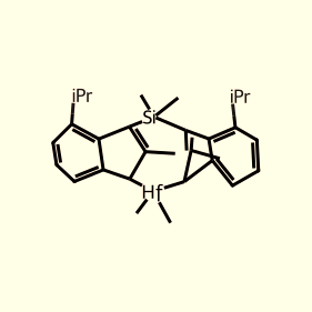 CC1=C2c3c(C(C)C)cccc3[CH]1[Hf]([CH3])([CH3])[CH]1C(C)=C(c3c(C(C)C)cccc31)[Si]2(C)C